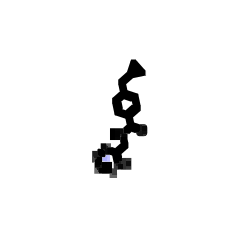 N=C(CNC(=O)c1ccc(CC2CC2)cc1)/N=N\N